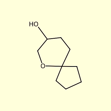 OC1CCC2(CCCC2)OC1